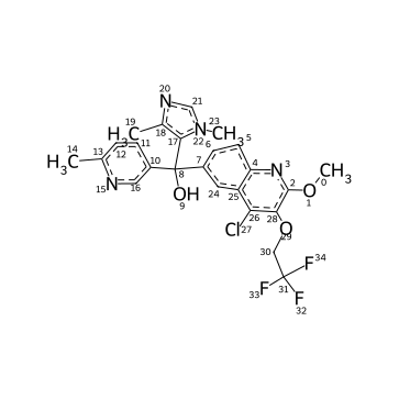 COc1nc2ccc(C(O)(c3ccc(C)nc3)c3c(C)ncn3C)cc2c(Cl)c1OCC(F)(F)F